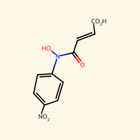 O=C(O)C=CC(=O)N(O)c1ccc([N+](=O)[O-])cc1